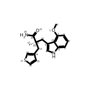 COc1cccc2[nH]cc(C[C@@](C)(Cc3ccsc3)C(N)=O)c12